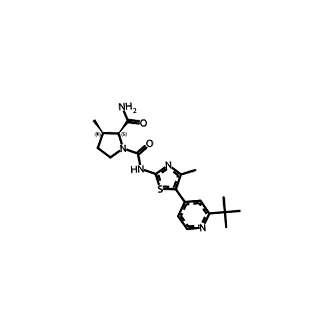 Cc1nc(NC(=O)N2CC[C@@H](C)[C@H]2C(N)=O)sc1-c1ccnc(C(C)(C)C)c1